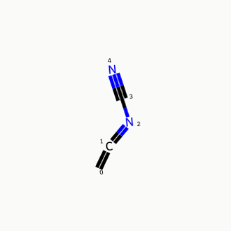 C=C=NC#N